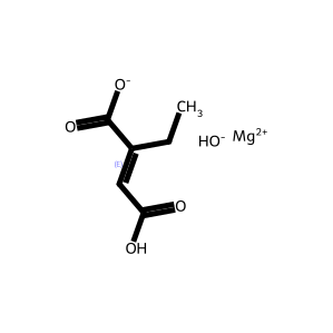 CC/C(=C\C(=O)O)C(=O)[O-].[Mg+2].[OH-]